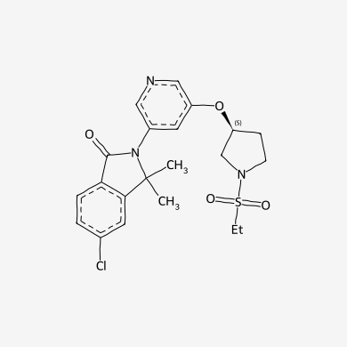 CCS(=O)(=O)N1CC[C@H](Oc2cncc(N3C(=O)c4ccc(Cl)cc4C3(C)C)c2)C1